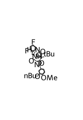 CCCCOc1cc(-c2nc(C(=O)NCc3ccc(F)cc3F)c(C(CC(C)(C)C)OC(N)=O)o2)ccc1OC